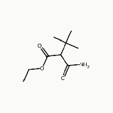 CCOC(=O)C(C(N)=O)C(C)(C)C